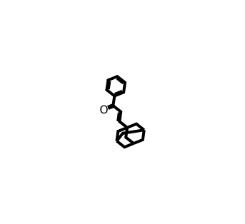 O=C(C=CC12CC3CC(CC(C3)C1)C2)c1ccccc1